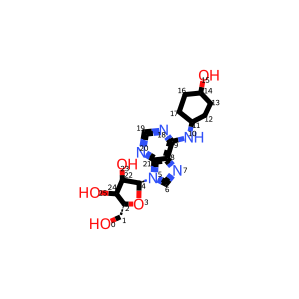 OC[C@H]1O[C@@H](n2cnc3c(NC4CCC(O)CC4)ncnc32)C(O)C1O